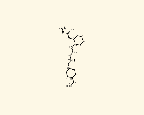 C=CC(=O)OC1CCCCC1OOCNCC1CCC(CN)CC1